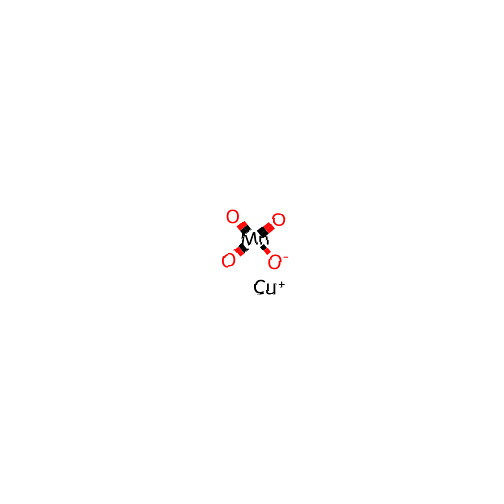 [Cu+].[O]=[Mn](=[O])(=[O])[O-]